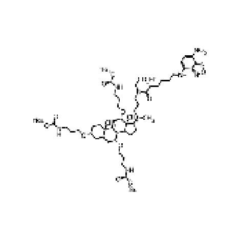 CCOC(=O)CN(CCC[C@@H](C)[C@H]1CCC2C3C(C[C@H](OCCCNC(=O)OC(C)(C)C)[C@@]21C)[C@@]1(C)CC[C@@H](OCCCNC(=O)OC(C)(C)C)CC1C[C@H]3OCCCNC(=O)OC(C)(C)C)C(=O)CCCCCNc1ccc([N+](=O)[O-])c2nonc12